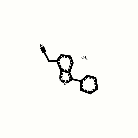 C.N#CCc1cccc2c(-c3ccccc3)onc12